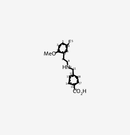 COc1ccc(F)cc1CCNCc1ccc(C(=O)O)cc1